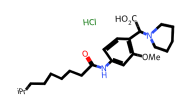 COc1cc(NC(=O)CCCCCCC(C)C)ccc1C(C(=O)O)N1CCCCC1.Cl